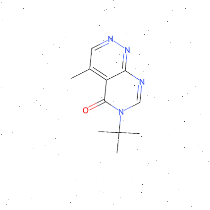 Cc1cnnc2ncn(C(C)(C)C)c(=O)c12